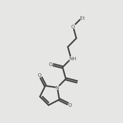 C=C(C(=O)NCCOCC)N1C(=O)C=CC1=O